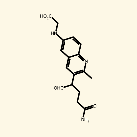 Cc1nc2ccc(NCC(=O)O)cc2cc1C(C=O)CCC(N)=O